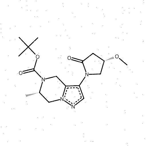 CO[C@H]1CC(=O)N(c2cnn3c2CN(C(=O)OC(C)(C)C)[C@@H](C)C3)C1